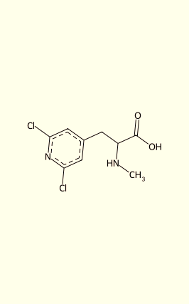 CNC(Cc1cc(Cl)nc(Cl)c1)C(=O)O